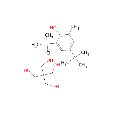 Cc1cc(C(C)(C)C)cc(C(C)(C)C)c1O.OCC(CO)(CO)CO